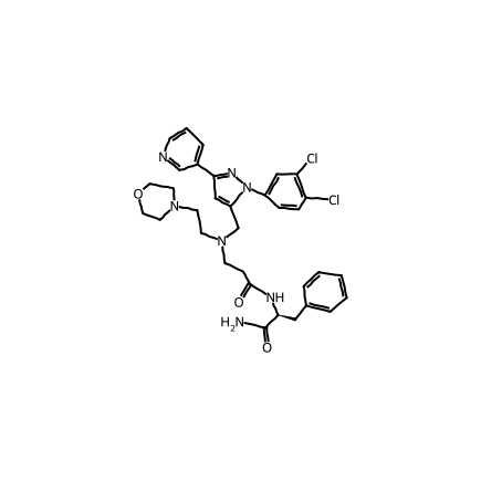 NC(=O)[C@H](Cc1ccccc1)NC(=O)CCN(CCN1CCOCC1)Cc1cc(-c2cccnc2)nn1-c1ccc(Cl)c(Cl)c1